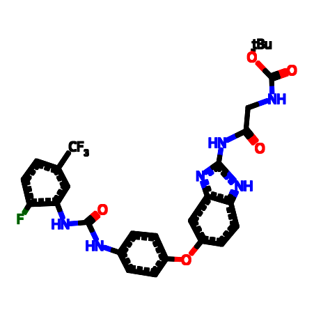 CC(C)(C)OC(=O)NCC(=O)Nc1nc2cc(Oc3ccc(NC(=O)Nc4cc(C(F)(F)F)ccc4F)cc3)ccc2[nH]1